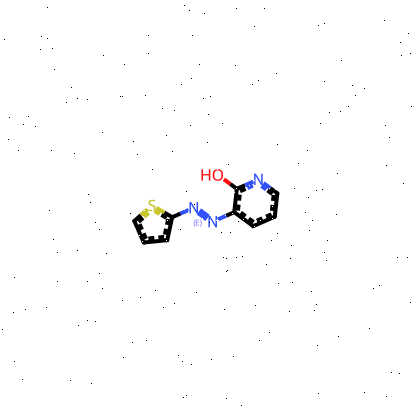 Oc1ncccc1/N=N/c1cccs1